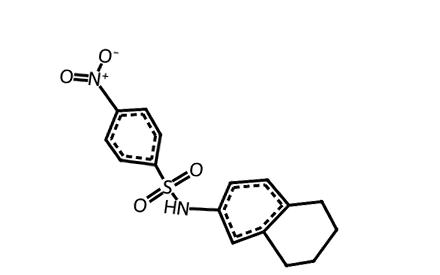 O=[N+]([O-])c1ccc(S(=O)(=O)Nc2ccc3c(c2)CCCC3)cc1